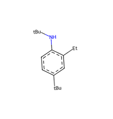 CCc1cc(C(C)(C)C)ccc1NC(C)(C)C